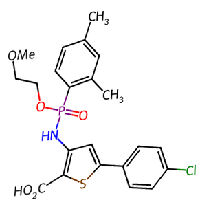 COCCOP(=O)(Nc1cc(-c2ccc(Cl)cc2)sc1C(=O)O)c1ccc(C)cc1C